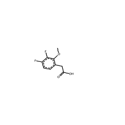 COc1c(CC(=O)O)ccc(F)c1F